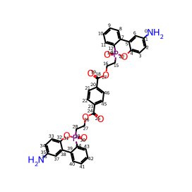 Nc1ccc2c(c1)-c1ccccc1P(=O)(CCOC(=O)c1ccc(C(=O)OCCP3(=O)Oc4ccc(N)cc4-c4ccccc43)cc1)O2